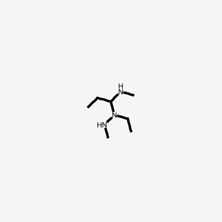 CCC(NC)N(CC)NC